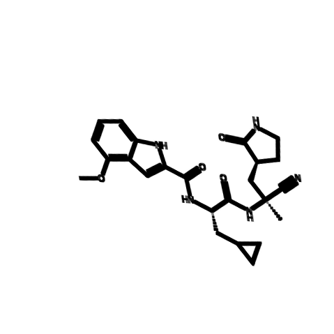 COc1cccc2[nH]c(C(=O)N[C@@H](CC3CC3)C(=O)N[C@](C)(C#N)C[C@@H]3CCNC3=O)cc12